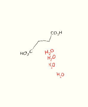 O.O.O.O.O=C(O)CCC(=O)O